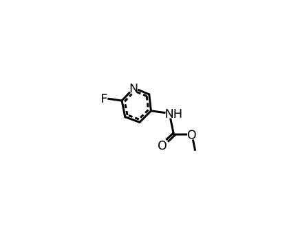 COC(=O)Nc1ccc(F)nc1